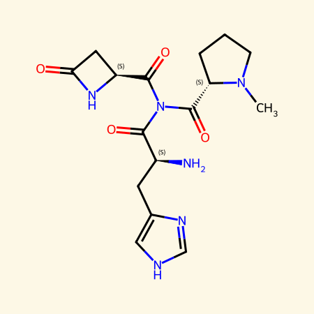 CN1CCC[C@H]1C(=O)N(C(=O)[C@@H]1CC(=O)N1)C(=O)[C@@H](N)Cc1c[nH]cn1